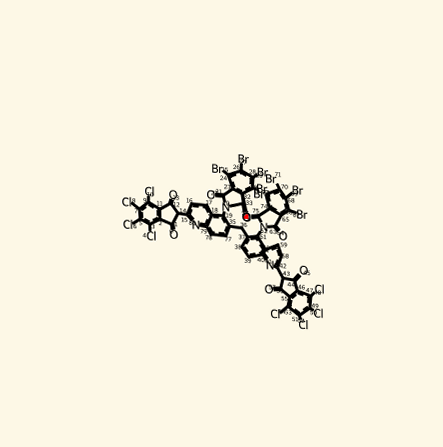 O=C1c2c(Cl)c(Cl)c(Cl)c(Cl)c2C(=O)C1c1ccc2c(N3C(=O)c4c(Br)c(Br)c(Br)c(Br)c4C3=O)c(Cc3ccc4nc(C5C(=O)c6c(Cl)c(Cl)c(Cl)c(Cl)c6C5=O)ccc4c3N3C(=O)c4c(Br)c(Br)c(Br)c(Br)c4C3=O)ccc2n1